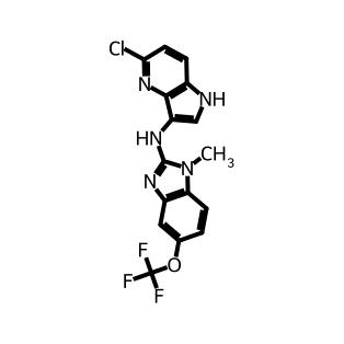 Cn1c(Nc2c[nH]c3ccc(Cl)nc23)nc2cc(OC(F)(F)F)ccc21